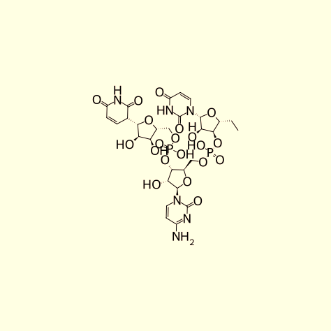 CC[C@H]1O[C@@H](n2ccc(=O)[nH]c2=O)[C@H](O)[C@@H]1OP(=O)(O)OC[C@H]1O[C@@H](n2ccc(N)nc2=O)[C@H](O)[C@@H]1OP(=O)(O)OC[C@H]1O[C@@H](C2C=CC(=O)NC2=O)[C@H](O)[C@@H]1O